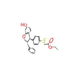 CCOC(=O)CSc1ccc([C@@H]2c3ccc(O)cc3OC[C@@H]2c2ccccc2)cc1